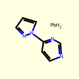 [PbH2].c1cnn(-c2ccncn2)c1